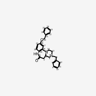 O=C1CC2CN(Cc3ccccc3)CCN2c2cc(OCc3ccccc3)ccc2N1